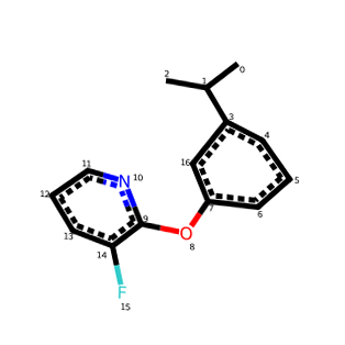 CC(C)c1cccc(Oc2ncccc2F)c1